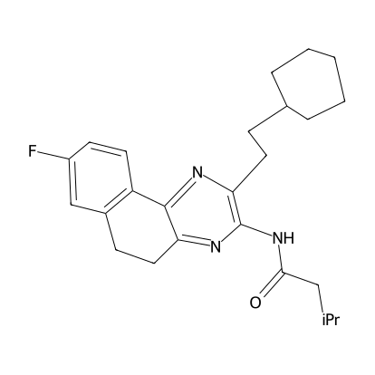 CC(C)CC(=O)Nc1nc2c(nc1CCC1CCCCC1)-c1ccc(F)cc1CC2